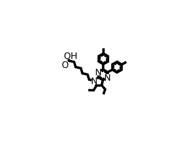 CCC1c2nc(-c3ccc(C)cc3)c(-c3ccc(C)cc3)nc2N(CCCCCCC(=O)O)C1CC